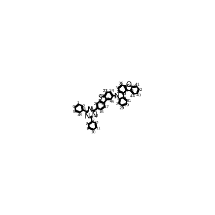 c1ccc(-c2nc(-c3ccccc3)nc(-c3ccc4c(c3)sc3ccc(-n5c6ccccc6c6c7c(ccc65)oc5ccccc57)cc34)n2)cc1